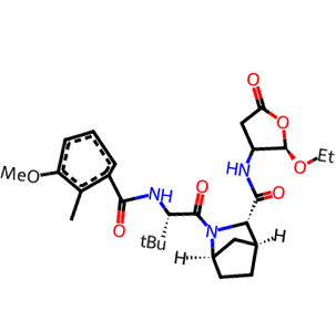 CCO[C@@H]1OC(=O)CC1NC(=O)[C@@H]1[C@H]2CC[C@H](C2)N1C(=O)[C@@H](NC(=O)c1cccc(OC)c1C)C(C)(C)C